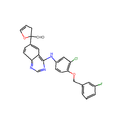 O=CC1(c2ccc3ncnc(Nc4ccc(OCc5cccc(F)c5)c(Cl)c4)c3c2)CC=CO1